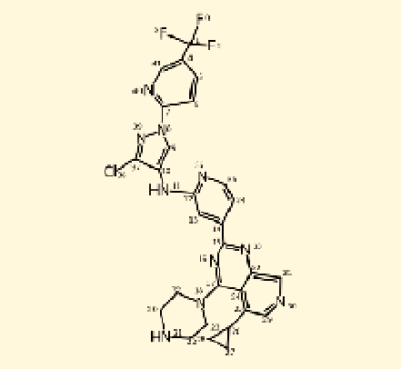 FC(F)(F)c1ccc(-n2cc(Nc3cc(-c4nc(N5CCNCC5)c5c(C6CC6)cncc5n4)ccn3)c(Cl)n2)nc1